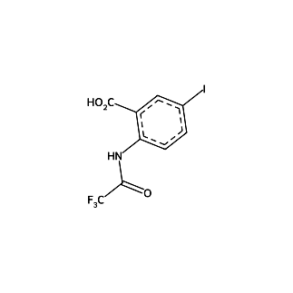 O=C(O)c1cc(I)ccc1NC(=O)C(F)(F)F